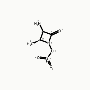 C[C@H]1C(N)C(=O)N1O[SH](=O)=O